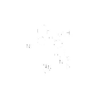 COc1cc(C=C2SC(=O)N(CCn3cccn3)C2=O)ccc1Oc1ccc(C#N)cc1C(F)(F)F